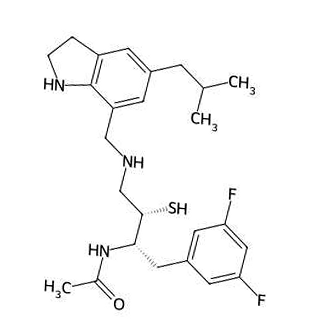 CC(=O)N[C@@H](Cc1cc(F)cc(F)c1)[C@@H](S)CNCc1cc(CC(C)C)cc2c1NCC2